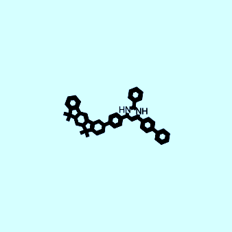 CC1(C)C2=C(CC(c3ccc(C4C=C(c5ccc(-c6ccccc6)cc5)NC(c5ccccc5)N4)cc3)C=C2)C2=CC3c4ccccc4C(C)(C)C3CC21